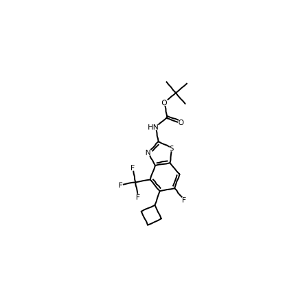 CC(C)(C)OC(=O)Nc1nc2c(C(F)(F)F)c(C3CCC3)c(F)cc2s1